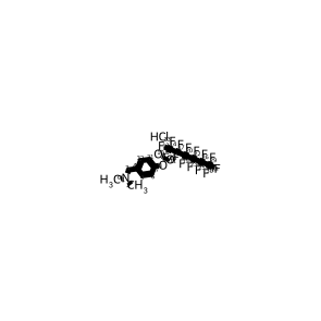 CN(C)Cc1ccc(OS(=O)(=O)C(F)(F)C(F)(F)C(F)(F)C(F)(F)C(F)(F)C(F)(F)F)cc1.Cl